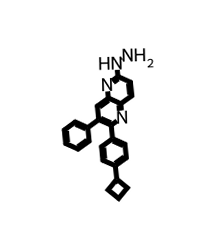 NNc1ccc2nc(-c3ccc([C]4CCC4)cc3)c(-c3ccccc3)cc2n1